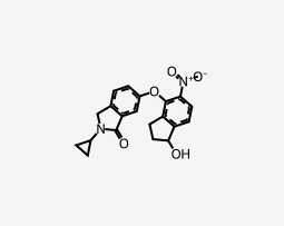 O=C1c2cc(Oc3c([N+](=O)[O-])ccc4c3CCC4O)ccc2CN1C1CC1